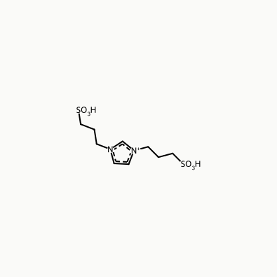 O=S(=O)(O)CCCn1cc[n+](CCCS(=O)(=O)O)c1